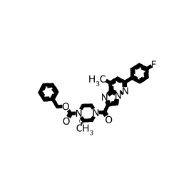 Cc1cc(-c2ccc(F)cc2)nn2cc(C(=O)N3CCN(C(=O)OCc4ccccc4)[C@@H](C)C3)nc12